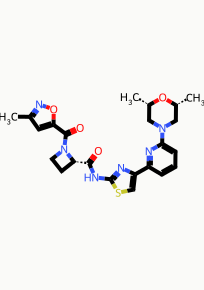 Cc1cc(C(=O)N2CC[C@H]2C(=O)Nc2nc(-c3cccc(N4C[C@@H](C)O[C@@H](C)C4)n3)cs2)on1